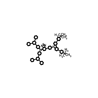 CC(C)(C)c1ccc(-c2ccc3c(c2)c2cc(-c4ccc(C(C)(C)C)cc4)ccc2n3-c2ccc(-c3ccc(N(c4ccc(-c5cc(-c6ccccc6)cc(-c6ccccc6)c5)cc4)c4ccc(-c5cc(-c6ccccc6)cc(-c6ccccc6)c5)cc4)c4nsnc34)cc2)cc1